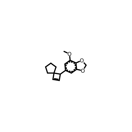 COc1cc(C2C=CC23CCCC3)cc2c1OCO2